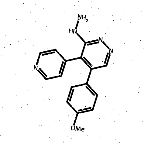 COc1ccc(-c2cnnc(NN)c2-c2ccncc2)cc1